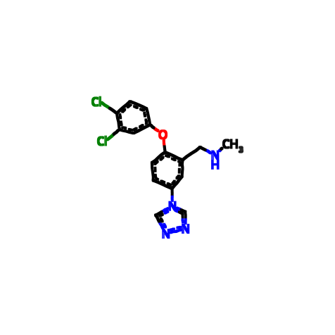 CNCc1cc(-n2cnnc2)ccc1Oc1ccc(Cl)c(Cl)c1